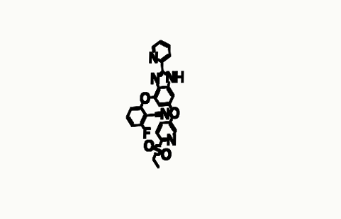 CCS(=O)(=O)c1ccc(Oc2cc(Oc3cccc(F)c3C#N)c3nc(-c4ccccn4)[nH]c3c2)cn1